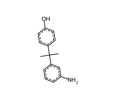 CC(C)(c1ccc(O)cc1)c1cccc(N)c1